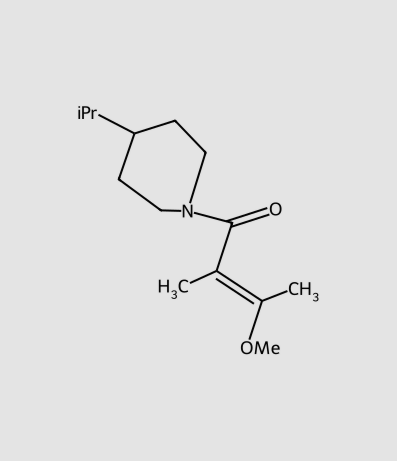 CO/C(C)=C(\C)C(=O)N1CCC(C(C)C)CC1